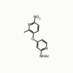 CC(=O)Nc1cc(Oc2ccc([N+](=O)[O-])nc2C)ccn1